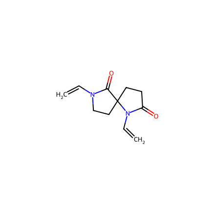 C=CN1CCC2(CCC(=O)N2C=C)C1=O